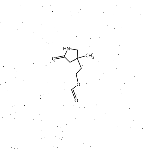 CC1(CCOC=O)CNC(=O)C1